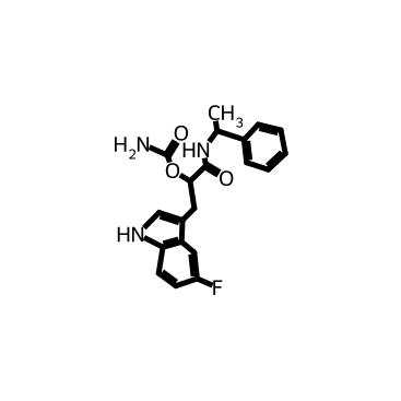 CC(NC(=O)C(Cc1c[nH]c2ccc(F)cc12)OC(N)=O)c1ccccc1